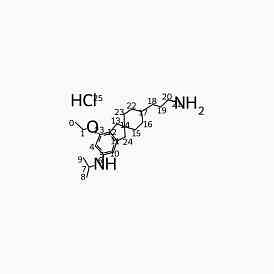 CCOc1cc(NC(C)C)cc2c1CC1(CCC(CCCN)CC1)C2.Cl